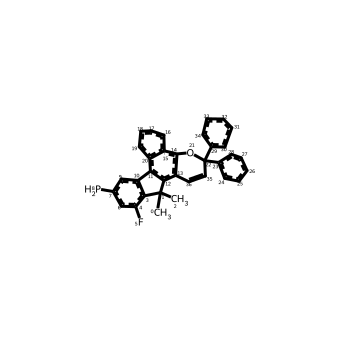 CC1(C)c2c(F)cc(P)cc2-c2c1c1c(c3ccccc23)OC(c2ccccc2)(c2ccccc2)C=C1